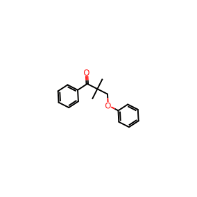 CC(C)(COc1ccccc1)C(=O)c1ccccc1